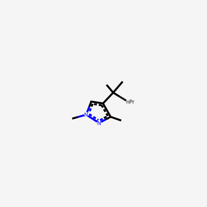 CCCC(C)(C)c1cn(C)nc1C